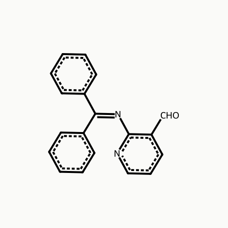 O=Cc1cccnc1N=C(c1ccccc1)c1ccccc1